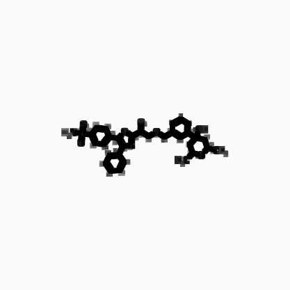 CC1CC(O)(c2cccc(COCC(=O)c3nc(-c4ccccc4)c(-c4ccc(S(N)(=O)=O)cc4)o3)c2)CC(C)O1